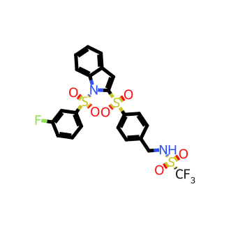 O=S(=O)(c1ccc(CNS(=O)(=O)C(F)(F)F)cc1)c1cc2ccccc2n1S(=O)(=O)c1cccc(F)c1